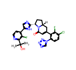 BC(B)(O)c1nccc(-c2cnc([C@@H]3CC[C@@H]4CC(c5c(-n6cnnn6)ccc(Cl)c5F)=CC(=O)N43)[nH]2)c1F